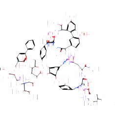 CN[C@H](CC(C)C)C(=O)N[C@@H]1C(=O)NC(C(N)=O)CC(=O)NC2C(=O)NC3C(=O)N[C@H](C(=O)NC(C(O)O)c4cc(O)cc(O)c4-c4cc3ccc4O)[C@H](O)c3ccc(c(Cl)c3)Oc3cc2cc(c3OC2OC(CO)C(O)C(O)C2OC2CC(C)(NCC(OCc3ccc(-c4ccccc4)cc3)C(=O)OC)C(O)C(C)O2)Oc2ccc(cc2Cl)C1O